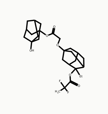 CCC1(OC(=O)C(C)(F)F)C2CC3CC1CC(OCC(=O)OC14CC5CC(CC(O)(C5)C1)C4)(C3)C2